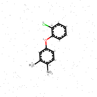 Cc1cc(Oc2ccccc2Cl)ccc1[N+](=O)[O-]